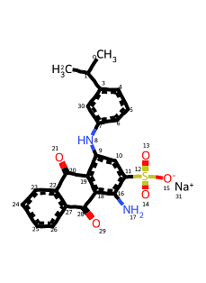 CC(C)c1cccc(Nc2cc(S(=O)(=O)[O-])c(N)c3c2C(=O)c2ccccc2C3=O)c1.[Na+]